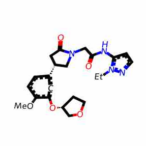 CCn1nccc1NC(=O)CN1C[C@H](c2ccc(OC)c(O[C@@H]3CCOC3)c2)CC1=O